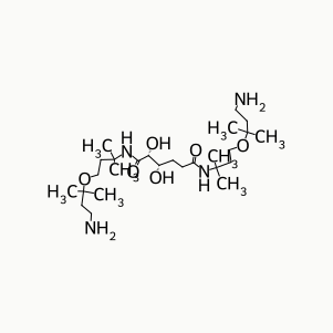 CC(C)(CCOC(C)(C)CCN)NC(=O)CC[C@H](O)[C@@H](O)C(=O)NC(C)(C)CCOC(C)(C)CCN